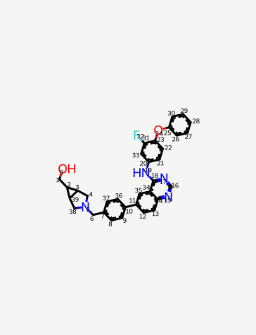 OCC1C2CN(Cc3ccc(-c4ccc5ncnc(Nc6ccc(Oc7ccccc7)c(F)c6)c5c4)cc3)CC12